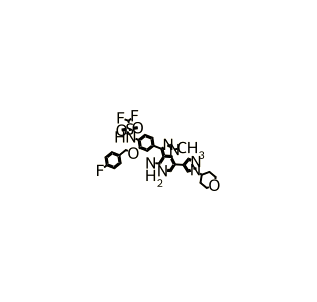 Cn1nc(-c2ccc(NS(=O)(=O)C(F)F)c(OCc3ccc(F)cc3)c2)c2c(N)ncc(-c3cnn(C4CCOCC4)c3)c21